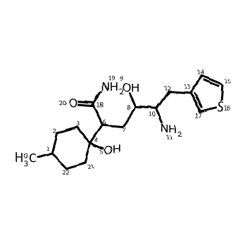 CC1CCC(O)(C(CC(O)C(N)Cc2ccsc2)C(N)=O)CC1